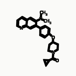 CN(C)c1cc2cccnc2cc1-c1ccc(OC2CCN(C(=O)C3CC3)CC2)cc1